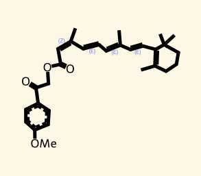 COc1ccc(C(=O)COC(=O)\C=C(C)/C=C/C=C(C)/C=C/C2=C(C)CCCC2(C)C)cc1